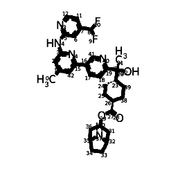 Cc1cc(Nc2cc(C(F)F)ccn2)nc(-c2ccc([C@](C)(O)[C@H]3CC[C@H](C(=O)OC4CC5CCC(C4)N5)CC3)nc2)c1